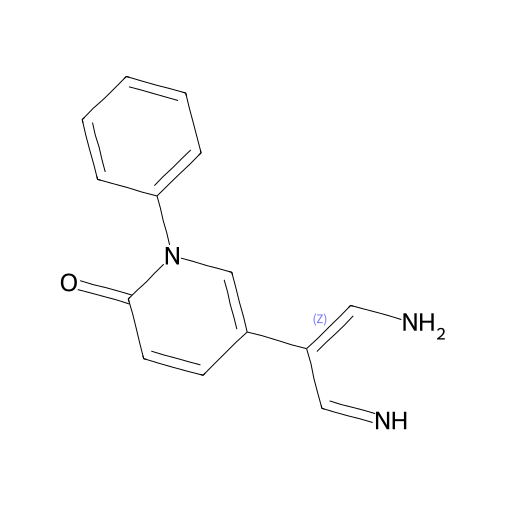 N=C/C(=C\N)c1ccc(=O)n(-c2ccccc2)c1